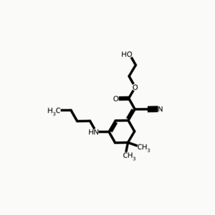 CCCCNC1=C/C(=C(/C#N)C(=O)OCCO)CC(C)(C)C1